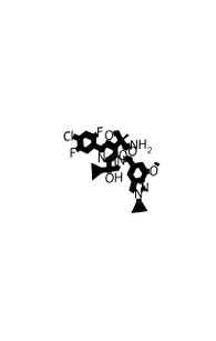 COc1cc(C(=O)NCC(O)(c2cc3c(c(-c4cc(F)c(Cl)cc4F)n2)OC[C@]3(C)C(N)=O)C2CC2)cc2cn(C3CC3)nc12